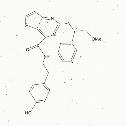 COC[C@@H](Nc1nc(C(=O)NCCc2ccc(O)cc2)c2sccc2n1)c1cccnc1